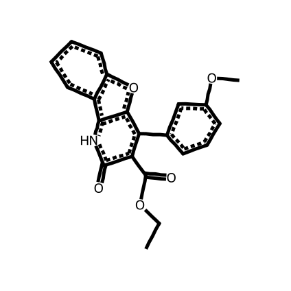 CCOC(=O)c1c(-c2cccc(OC)c2)c2oc3ccccc3c2[nH]c1=O